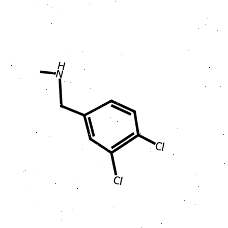 CNCc1ccc(Cl)c(Cl)c1